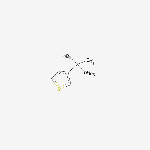 CCCCCCC(C)(CCCC)c1ccsc1